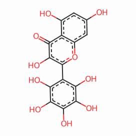 O=c1c(O)c(-c2c(O)c(O)c(O)c(O)c2O)oc2cc(O)cc(O)c12